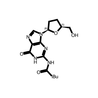 CCC(C)C(=O)Nc1nc2c(ncn2[C@H]2CC[C@@H](CO)O2)c(=O)[nH]1